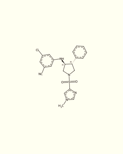 Cn1cnc(S(=O)(=O)N2C[C@@H](Nc3cc(Cl)cc(C#N)c3)[C@H](c3ccccc3)C2)c1